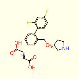 Fc1ccc(-c2ccccc2CO[C@H]2CCNC2)c(F)c1.O=C(O)/C=C/C(=O)O